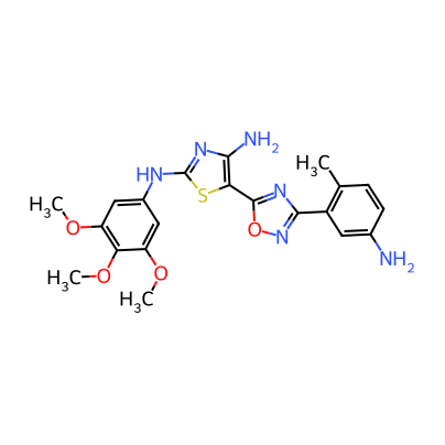 COc1cc(Nc2nc(N)c(-c3nc(-c4cc(N)ccc4C)no3)s2)cc(OC)c1OC